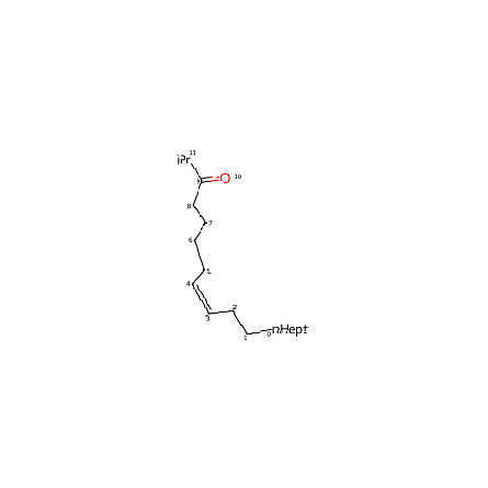 CCCCCCCCC/C=C\CCCCC(=O)C(C)C